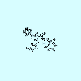 Cc1ccc(CN2C[C@H](n3cnnn3)C[C@H]2C(=O)NCc2ccccc2C)s1